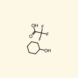 O=C(O)C(F)(F)F.OC1CCCCC1